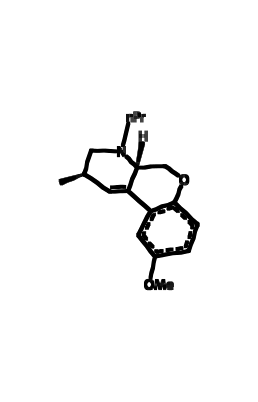 CCCN1C[C@H](C)C=C2c3cc(OC)ccc3OC[C@H]21